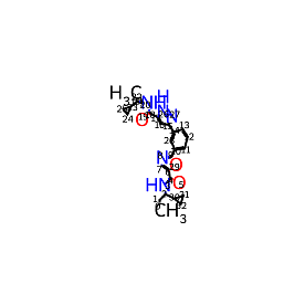 CCC(NC(=O)c1cnc(-c2cccc(-c3cc(C(=O)N[C@@H](C)C4CC4)[nH]n3)c2)o1)C1CC1